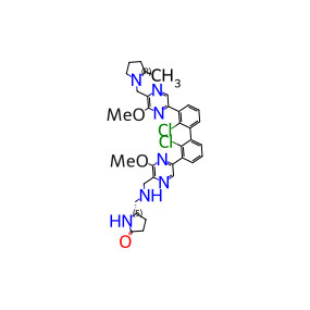 COc1nc(-c2cccc(-c3cccc(-c4cnc(CN5CCC[C@H]5C)c(OC)n4)c3Cl)c2Cl)cnc1CNC[C@@H]1CCC(=O)N1